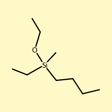 CCCC[Si](C)(CC)OCC